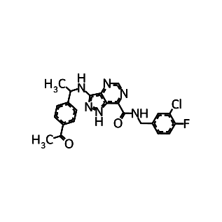 CC(=O)c1ccc(C(C)Nc2n[nH]c3c(C(=O)NCc4ccc(F)c(Cl)c4)ncnc23)cc1